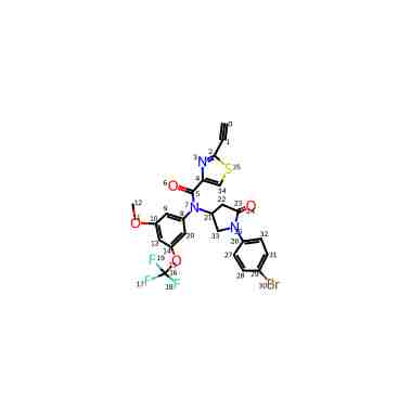 C#Cc1nc(C(=O)N(c2cc(OC)cc(OC(F)(F)F)c2)C2CC(=O)N(c3ccc(Br)cc3)C2)cs1